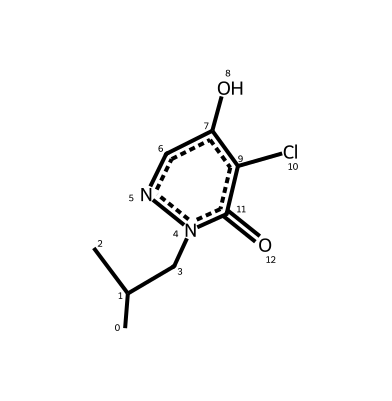 CC(C)Cn1ncc(O)c(Cl)c1=O